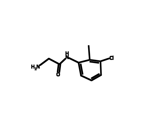 Cc1c(Cl)cccc1NC(=O)CN